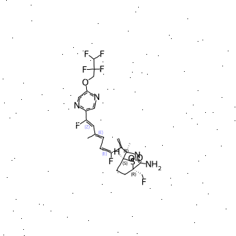 C=C(\C(F)=C/C=C(C)/C=C(\F)c1cnc(OCC(F)(F)C(F)F)cn1)[C@@]1(C)N=C(N)[C@@]2(CF)CC[C@@H]1S2(=O)=O